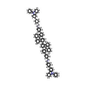 C(=C\c1ccc(-c2ccc3c(c2)c2ccccc2n3-c2ccccc2)cc1)/c1ccc(-c2ccc3c(c2)C2(c4ccccc4-c4ccccc42)c2cc(-c4ccc5c(c4)C4(c6ccccc6-c6ccccc64)c4cc(-c6ccc(/C=C/c7ccc(-c8ccc9c(c8)c8ccccc8n9-c8ccccc8)cc7)cc6)ccc4-5)ccc2-3)cc1